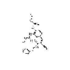 CCOC(=O)Oc1ccc(C=C(C#N)C(=O)OCCc2ccsc2)cc1OC(=O)OCC